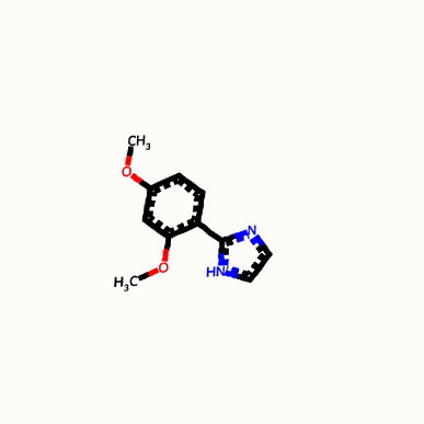 COc1ccc(-c2ncc[nH]2)c(OC)c1